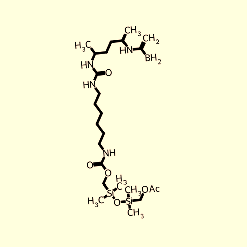 BC(=C)NC(C)CCC(C)NC(=O)NCCCCCCNC(=O)OC[Si](C)(C)O[Si](C)(C)COC(C)=O